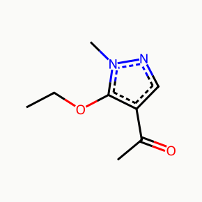 CCOc1c(C(C)=O)cnn1C